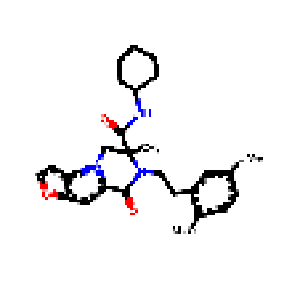 COc1ccc(OC)c(CCN2C(=O)c3cc4occc4n3CC2(C)C(=O)NC2CCCCC2)c1